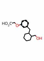 O=C(O)COc1cccc(CC2CCCCC2CO)c1